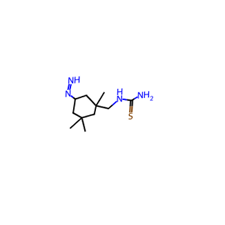 CC1(C)CC(N=N)CC(C)(CNC(N)=S)C1